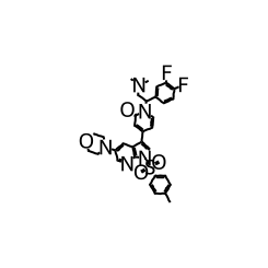 Cc1ccc(S(=O)(=O)n2cc(-c3ccn(C(CN(C)C)c4ccc(F)c(F)c4)c(=O)c3)c3cc(N4CCOCC4)cnc32)cc1